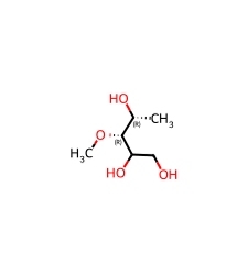 CO[C@@H](C(O)CO)[C@@H](C)O